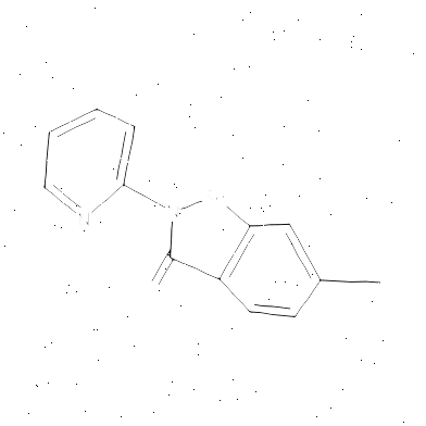 Cc1ccc2c(=S)n(-c3ccccn3)[se]c2c1